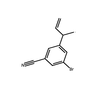 [CH2]C(C=C)c1cc(Br)cc(C#N)c1